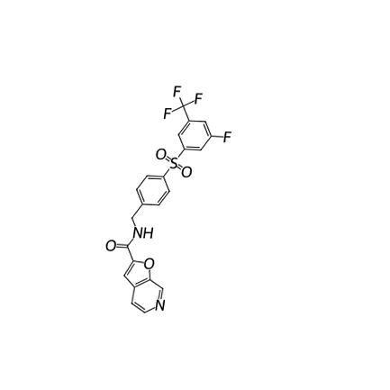 O=C(NCc1ccc(S(=O)(=O)c2cc(F)cc(C(F)(F)F)c2)cc1)c1cc2ccncc2o1